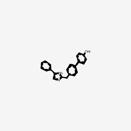 Oc1ccc(-c2ccc(Cc3ncc(-c4ccccc4)[nH]3)cc2)cc1